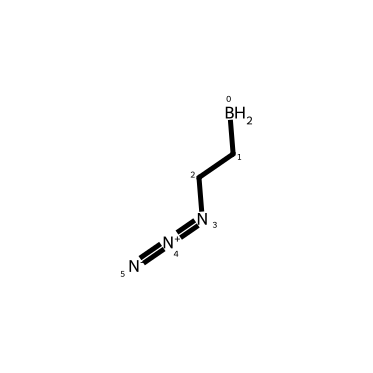 BCCN=[N+]=[N-]